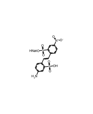 Nc1ccc(C=Cc2ccc([N+](=O)[O-])cc2S(=O)(=O)O)c(S(=O)(=O)O)c1.[NaH]